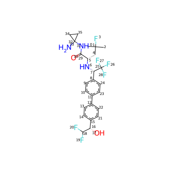 CC(C)(F)C[C@H](N[C@@H](c1ccc(-c2ccc([C@H](O)C(F)F)cc2)cc1)C(F)(F)F)C(=O)NC1(N)CC1